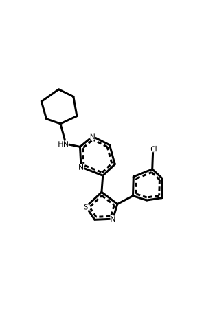 Clc1cccc(-c2ncsc2-c2ccnc(NC3CCCCC3)n2)c1